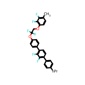 CCCc1ccc(-c2ccc(-c3ccc(OC(F)(F)COc4ccc(C)c(F)c4F)cc3)c(F)c2F)cc1